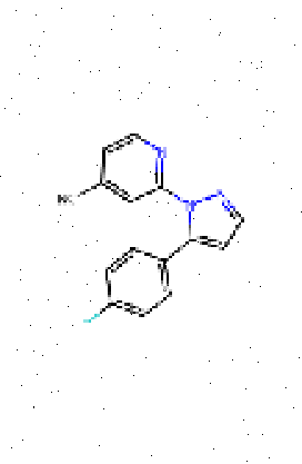 N#Cc1ccnc(-n2nccc2-c2ccc(F)cc2)c1